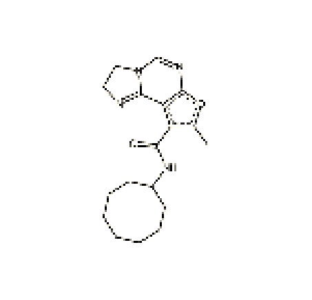 Cc1oc2c(c1C(=O)NC1CCCCCCC1)C1=NCCN1C=N2